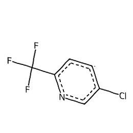 FC(F)(F)c1c[c]c(Cl)cn1